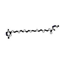 C=N/C=C\N(C)C(=O)OCCOCCOCCOCCOCCOCCOC(=O)N(C)/C=C\N=C